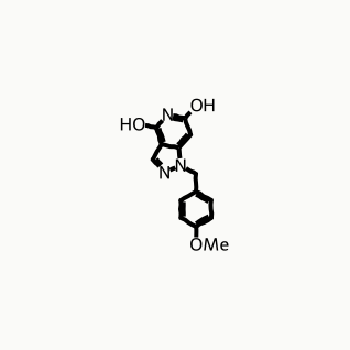 COc1ccc(Cn2ncc3c(O)nc(O)cc32)cc1